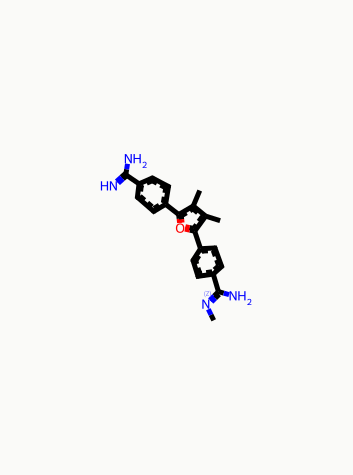 C/N=C(\N)c1ccc(-c2oc(-c3ccc(C(=N)N)cc3)c(C)c2C)cc1